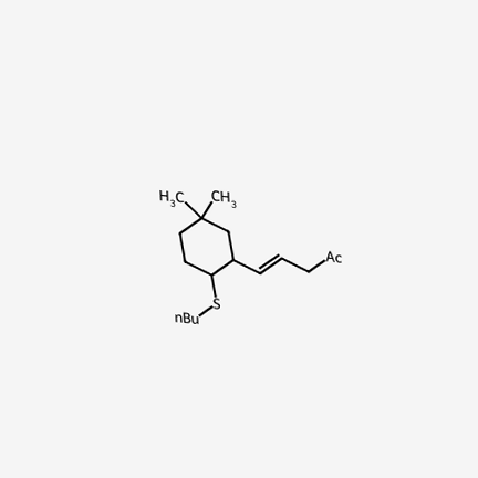 CCCCSC1CCC(C)(C)CC1C=CCC(C)=O